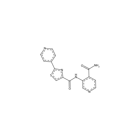 NC(=O)c1ccncc1NC(=O)c1csc(-c2ccncc2)n1